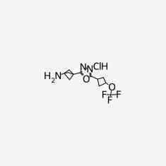 Cl.NC12CC(c3nnc(C4CC(OC(F)(F)F)C4)o3)(C1)C2